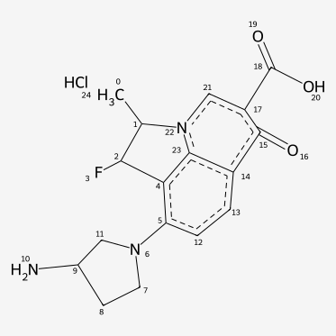 CC1C(F)c2c(N3CCC(N)C3)ccc3c(=O)c(C(=O)O)cn1c23.Cl